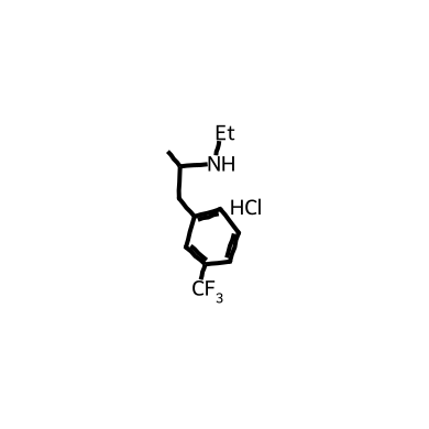 CCNC(C)Cc1cccc(C(F)(F)F)c1.Cl